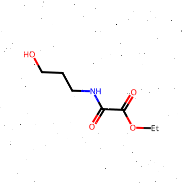 CCOC(=O)C(=O)NCCCO